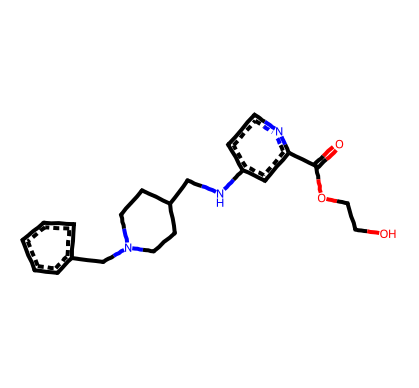 O=C(OCCO)c1cc(NCC2CCN(Cc3ccccc3)CC2)ccn1